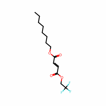 CCCCCCCCOC(=O)C=CC(=O)OCC(F)(F)F